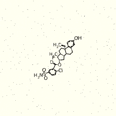 C=C[C@]12CC[C@@]3(C)C(C[C@@H](OC(=O)c4cc(S(N)(=O)=O)ccc4Cl)[C@@H]3F)C1CCc1cc(O)ccc12